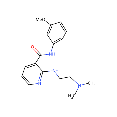 COc1cccc(NC(=O)c2cccnc2NCCN(C)C)c1